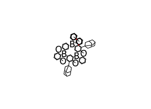 c1ccc2c(c1)Oc1cccc3c1B2c1cc2c(c(C45CC6CC(CC(C6)C4)C5)c1O3)Oc1cccc3c1B2c1cc2c(c(C45CC6CC(CC(C6)C4)C5)c1O3)Oc1cccc3c1B2c1ccccc1O3